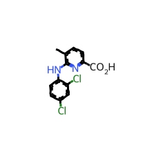 Cc1ccc(C(=O)O)nc1Nc1ccc(Cl)cc1Cl